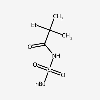 CCCCS(=O)(=O)NC(=O)C(C)(C)CC